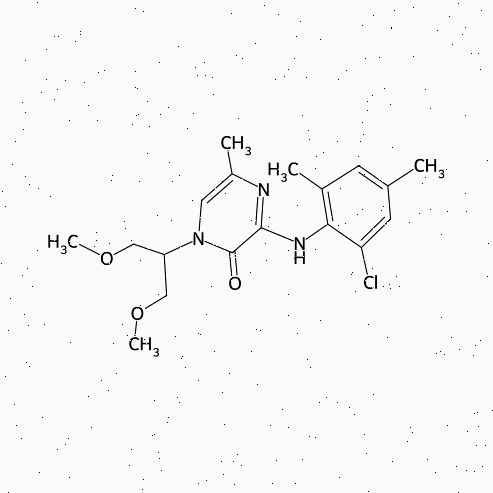 COCC(COC)n1cc(C)nc(Nc2c(C)cc(C)cc2Cl)c1=O